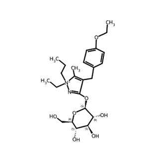 CCC[N+]1(CC)N=C(O[C@@H]2O[C@H](CO)[C@@H](O)[C@H](O)[C@H]2O)C(Cc2ccc(OCC)cc2)=C1C